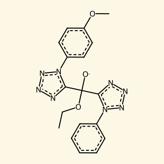 CCOC([O])(c1nnnn1-c1ccccc1)c1nnnn1-c1ccc(OC)cc1